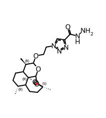 C[C@H]1C(OCCn2cc(C(=O)NN)nn2)OC2O[C@]3(C)CCC4[C@H](C)CCC1[C@@]24OO3